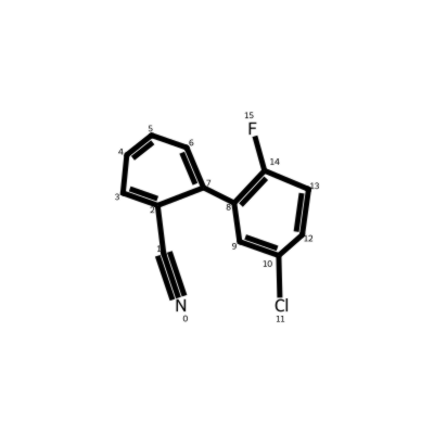 N#Cc1ccccc1-c1cc(Cl)ccc1F